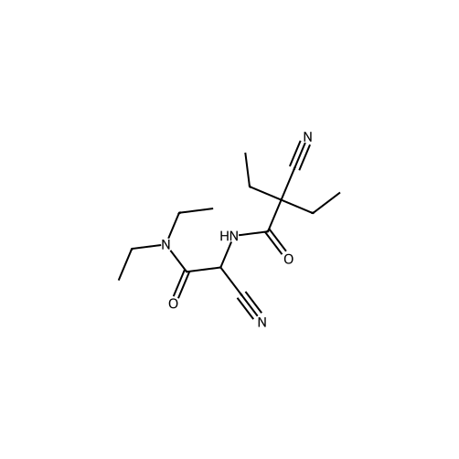 CCN(CC)C(=O)C(C#N)NC(=O)C(C#N)(CC)CC